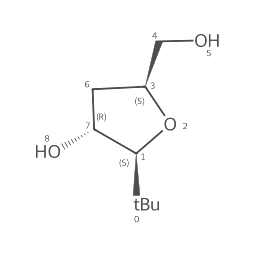 CC(C)(C)[C@@H]1O[C@H](CO)C[C@H]1O